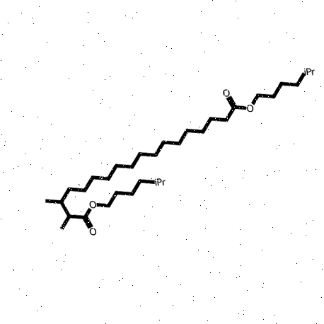 CC(C)CCCCOC(=O)CCCCCCCCCCCCCCC(C)C(C)C(=O)OCCCCC(C)C